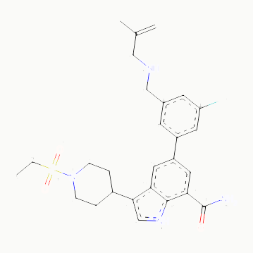 C=C(C)CNCc1cc(F)cc(-c2cc(C(N)=O)c3[nH]cc(C4CCN(S(=O)(=O)CC)CC4)c3c2)c1